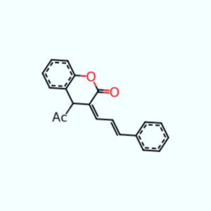 CC(=O)C1C(=CC=Cc2ccccc2)C(=O)Oc2ccccc21